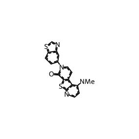 CNc1ccnc2sc3c(=O)n(-c4ccc5scnc5c4)ccc3c12